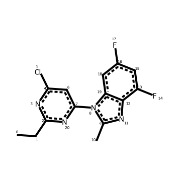 CCc1nc(Cl)cc(-n2c(C)nc3c(F)cc(F)cc32)n1